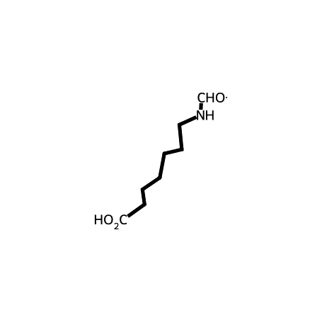 O=[C]NCCCCCCC(=O)O